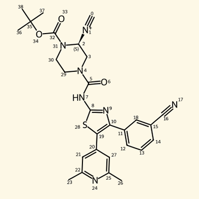 C#[N+][C@H]1CN(C(=O)Nc2nc(-c3cccc(C#N)c3)c(-c3cc(C)nc(C)c3)s2)CCN1C(=O)OC(C)(C)C